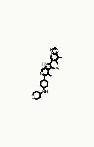 Cc1c(-c2[nH]c3cnc(C4CCC(NC5CCOCC5)CC4)c(C)c3c2C(C)C)cn2ncnc2c1C